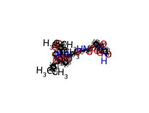 CC[C@H](C(=O)N1CCCC[C@H]1C(=O)O[C@H](CCc1ccc(C)c(C)c1)c1ccccc1OCC(=O)NCCCOCCCNC(=O)COc1cccc2c1C(=O)N(C1CCC(=O)NC1=O)C2=O)c1cc(C)c(OC)c(OC)c1